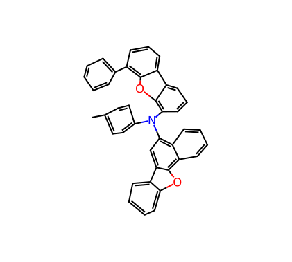 Cc1ccc(N(c2cc3c4ccccc4oc3c3ccccc23)c2cccc3c2oc2c(-c4ccccc4)cccc23)cc1